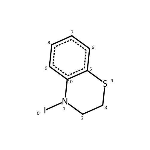 IN1CCSc2ccccc21